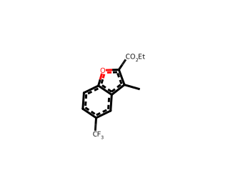 CCOC(=O)c1oc2ccc(C(F)(F)F)cc2c1C